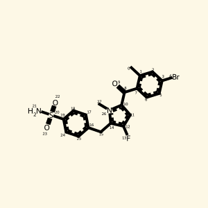 Cc1cc(Br)ccc1C(=O)c1cc(F)c(Cc2ccc(S(N)(=O)=O)cc2)n1C